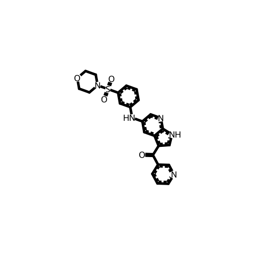 O=C(c1cccnc1)c1c[nH]c2ncc(Nc3cccc(S(=O)(=O)N4CCOCC4)c3)cc12